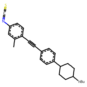 CCCCC1CCC(c2ccc(C#Cc3ccc(N=C=S)cc3C)cc2)CC1